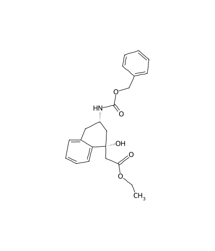 CCOC(=O)C[C@]1(O)C[C@@H](NC(=O)OCc2ccccc2)Cc2ccccc21